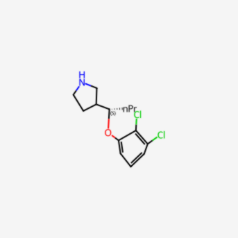 CCC[C@H](Oc1cccc(Cl)c1Cl)C1CCNC1